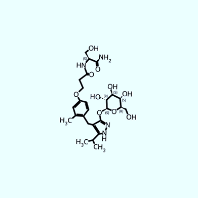 Cc1cc(OCCC(=O)N[C@@H](CO)C(N)=O)ccc1Cc1c(O[C@@H]2O[C@H](CO)[C@@H](O)[C@H](O)[C@H]2O)n[nH]c1C(C)C